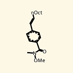 CCCCCCCCC=Cc1ccc(C(=O)N(C)OC)cc1